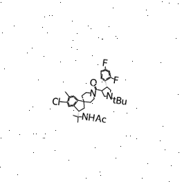 CC(=O)NC(C)(C)[C@H]1CC2(CCN(C(=O)C3CN(C(C)(C)C)C[C@H]3c3ccc(F)cc3F)CC2)c2cc(C)c(Cl)cc21